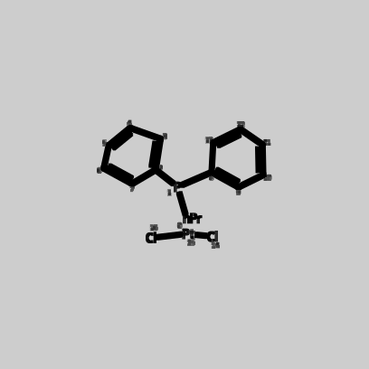 CCCP(c1ccccc1)c1ccccc1.[Cl][Pt][Cl]